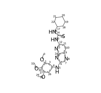 COc1cc(Nc2cnc3ccc(NC(=S)NC4CCCCC4)nc3n2)cc(OC)c1OC